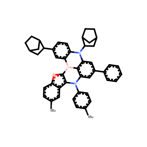 CC(C)(C)c1ccc(N2c3cc(-c4ccccc4)cc4c3B(c3cc(C5CC6CCC5C6)ccc3N4C3CC4CCC3C4)c3oc4ccc(C(C)(C)C)cc4c32)cc1